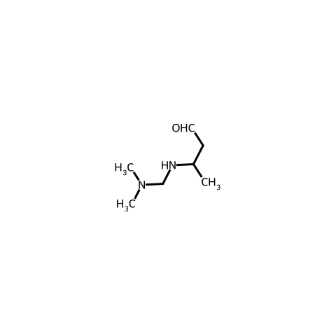 CC(CC=O)NCN(C)C